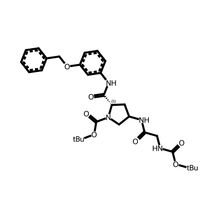 CC(C)(C)OC(=O)NCC(=O)NC1C[C@@H](C(=O)Nc2cccc(OCc3ccccc3)c2)N(C(=O)OC(C)(C)C)C1